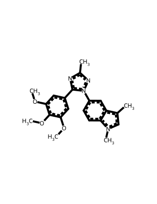 COc1cc(-c2nc(C)nn2-c2ccc3c(c2)c(C)cn3C)cc(OC)c1OC